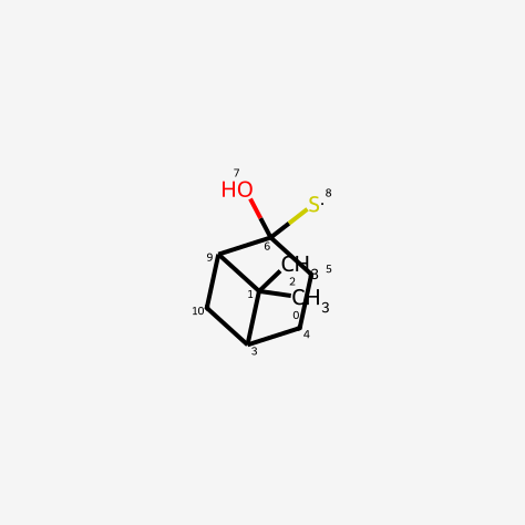 CC1(C)C2CCC(O)([S])C1C2